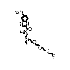 CCN(CCNC(=O)c1cnc2cc([125I])ccc2n1)CCOCCOCCOCCF